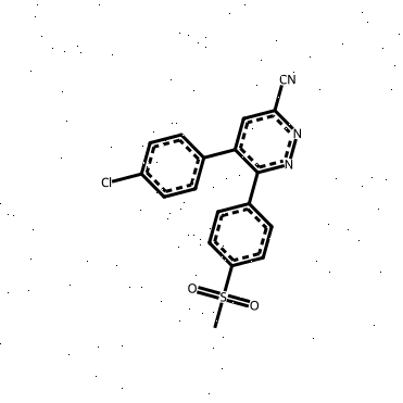 CS(=O)(=O)c1ccc(-c2nnc(C#N)cc2-c2ccc(Cl)cc2)cc1